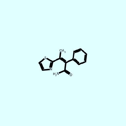 C/C(=C(/C(N)=O)c1ccccc1)c1nccs1